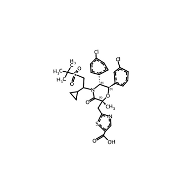 CC(C)(C)S(=O)(=O)CC(C1CC1)N1C(=O)[C@@](C)(Cc2ncc(C(=O)O)s2)O[C@H](c2cccc(Cl)c2)[C@H]1c1ccc(Cl)cc1